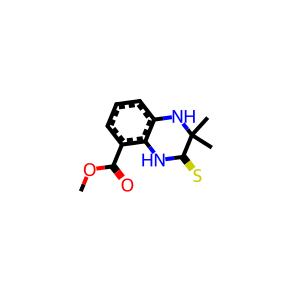 COC(=O)c1cccc2c1NC(=S)C(C)(C)N2